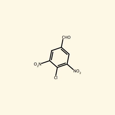 O=Cc1cc([N+](=O)[O-])c(Cl)c([N+](=O)[O-])c1